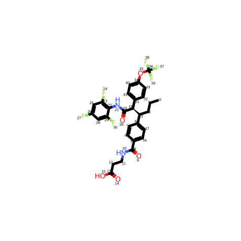 CCCC(c1ccc(C(=O)NCCC(=O)O)cc1)[C@@H](C(=O)Nc1c(F)cc(F)cc1F)c1ccc(OC(F)(F)F)cc1